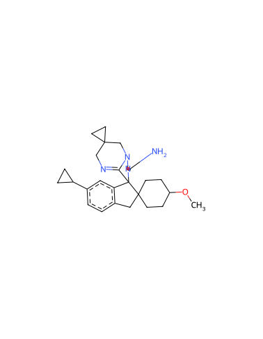 COC1CCC2(CC1)Cc1ccc(C3CC3)cc1C21N=C(N)N2CC3(CC3)CN=C21